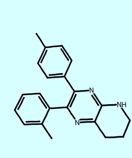 Cc1ccc(-c2nc3c(nc2-c2ccccc2C)CCCN3)cc1